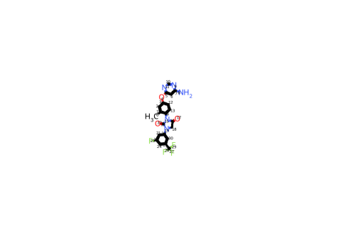 Cc1cc(Oc2cc(N)ncn2)ccc1N1C(=O)CN(c2cc(F)cc(C(F)(F)F)c2)C1=O